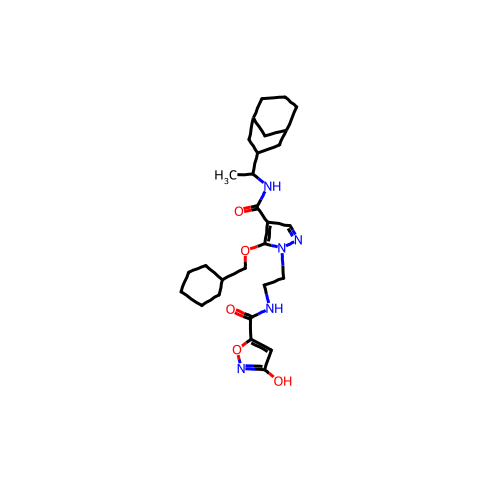 CC(NC(=O)c1cnn(CCNC(=O)c2cc(O)no2)c1OCC1CCCCC1)C1CC2CCCC(C2)C1